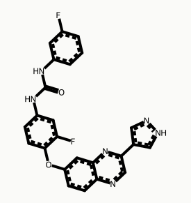 O=C(Nc1cccc(F)c1)Nc1ccc(Oc2ccc3ncc(-c4cn[nH]c4)nc3c2)c(F)c1